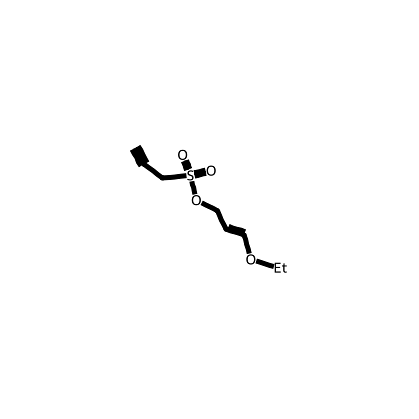 C#CCS(=O)(=O)OCC=COCC